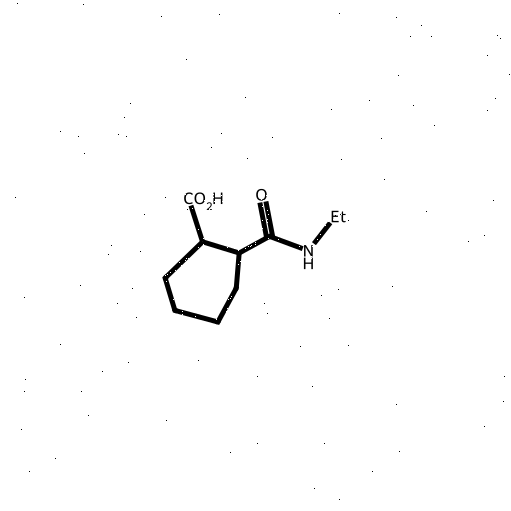 CCNC(=O)C1CCCCC1C(=O)O